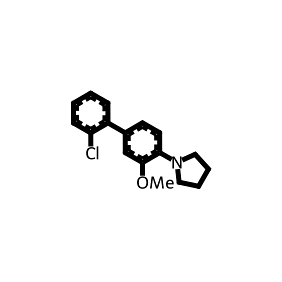 COc1cc(-c2ccccc2Cl)ccc1N1CCCC1